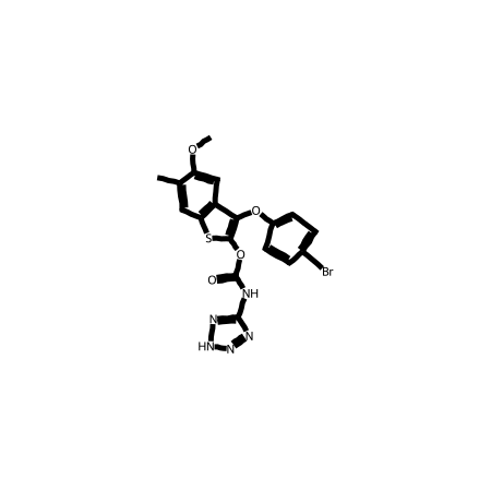 COc1cc2c(Oc3ccc(Br)cc3)c(OC(=O)Nc3nn[nH]n3)sc2cc1C